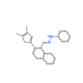 CC1=C(C)CC(c2ccc3ccccc3c2C=NNc2ccccc2)=C1